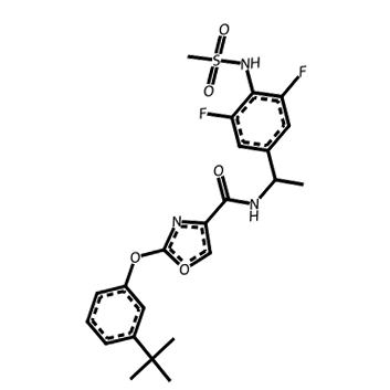 CC(NC(=O)c1coc(Oc2cccc(C(C)(C)C)c2)n1)c1cc(F)c(NS(C)(=O)=O)c(F)c1